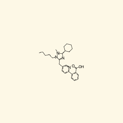 CCCCCN1C(Cc2ccc(-c3ccccc3C(=O)O)nc2)=NC(C2CCCCC2)N1C